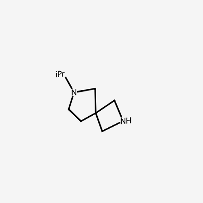 CC(C)N1CCC2(CNC2)C1